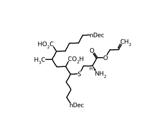 C=CCOC(=O)[C@@H](N)CSC(CCCCCCCCCCCCC)C(CC(C)C(CCCCCCCCCCCCCC)C(=O)O)C(=O)O